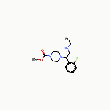 CCC(C)CNCC(c1ccccc1F)N1CCN(C(=O)OC(C)(C)C)CC1